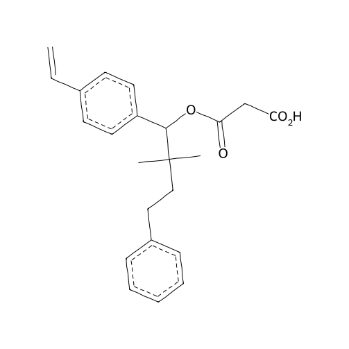 C=Cc1ccc(C(OC(=O)CC(=O)O)C(C)(C)CCc2ccccc2)cc1